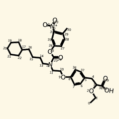 CCOC(Cc1ccc(OCCN(CCCCC2CCCCC2)C(=O)Oc2ccc(C)c([N+](=O)[O-])c2)cc1)C(=O)O